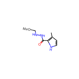 COCNNC(=O)c1[nH]ccc1C